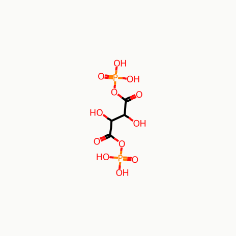 O=C(OP(=O)(O)O)C(O)C(O)C(=O)OP(=O)(O)O